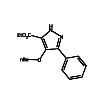 CCCCOc1c(-c2ccccc2)n[nH]c1C(=O)OCC